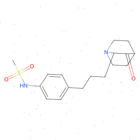 CS(=O)(=O)Nc1ccc(CCCC2C(=O)C3CCN2CC3)cc1